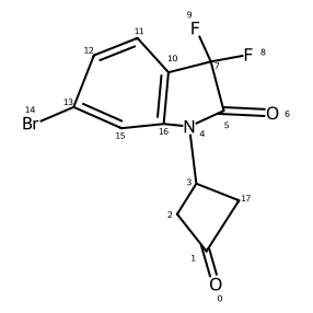 O=C1CC(N2C(=O)C(F)(F)c3ccc(Br)cc32)C1